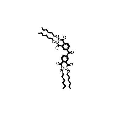 CCCCCCOOC(=O)c1ccc(C(=O)c2ccc(C(=O)OOCCCCCC)c(C(=O)OOCCCCCC)c2)cc1C(=O)OOCCCCCC